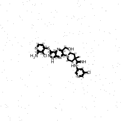 CC1(C(=N)Nc2cncc(Cl)c2)CCN(c2nc3[nH]nc(Sc4ccnc(N)c4Cl)c3nc2CO)CC1